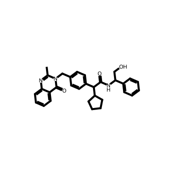 Cc1nc2ccccc2c(=O)n1Cc1ccc(C(C(=O)NC(CO)c2ccccc2)C2CCCC2)cc1